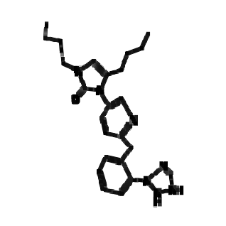 CCCCc1cn(CCCC)c(=O)n1-c1ccc(Cc2ccccc2N2N=CNN2)nc1